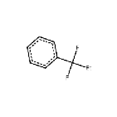 CCC(F)(F)c1cc[c]cc1